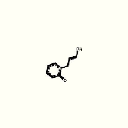 O=c1ccccn1CC=CO